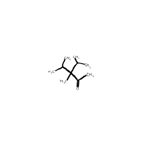 CC(=O)C(C)(C(C)C)C(C)C